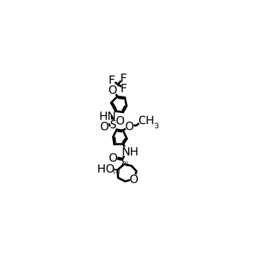 CCOc1cc(NC(=O)[C@@H]2CCOCC[C@@H]2O)ccc1S(=O)(=O)Nc1cccc(OC(F)(F)F)c1